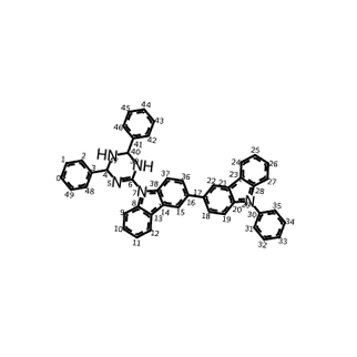 c1ccc(C2N=C(n3c4ccccc4c4cc(-c5ccc6c(c5)c5ccccc5n6-c5ccccc5)ccc43)NC(c3ccccc3)N2)cc1